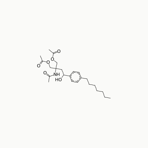 CCCCCCCc1ccc(C(O)CC(COC(C)=O)(COC(C)=O)NC(C)=O)cc1